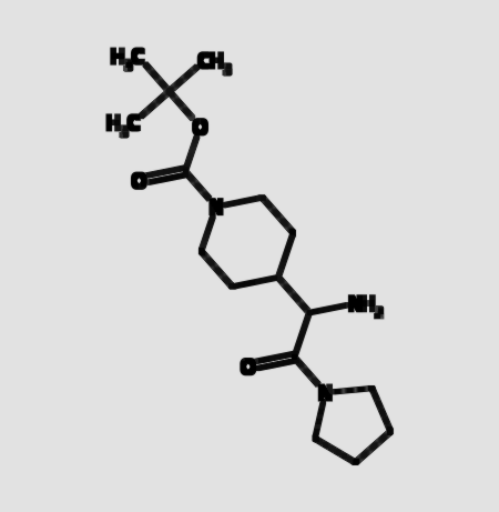 CC(C)(C)OC(=O)N1CCC(C(N)C(=O)N2CCCC2)CC1